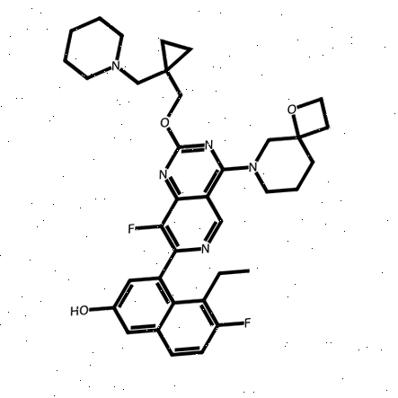 CCc1c(F)ccc2cc(O)cc(-c3ncc4c(N5CCCC6(CCO6)C5)nc(OCC5(CN6CCCCC6)CC5)nc4c3F)c12